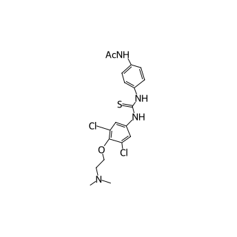 CC(=O)Nc1ccc(NC(=S)Nc2cc(Cl)c(OCCN(C)C)c(Cl)c2)cc1